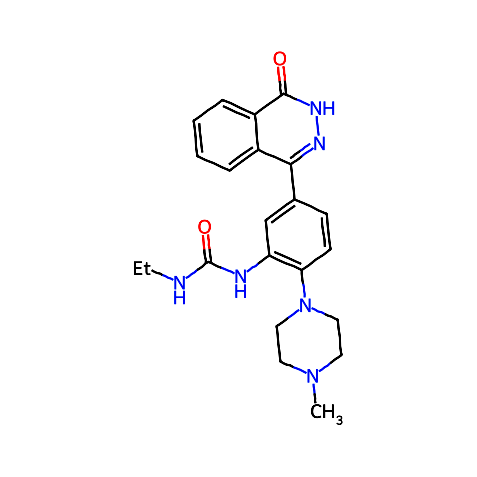 CCNC(=O)Nc1cc(-c2n[nH]c(=O)c3ccccc23)ccc1N1CCN(C)CC1